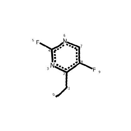 CCc1nc(F)n[c]c1F